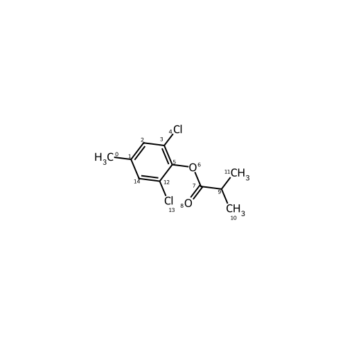 Cc1cc(Cl)c(OC(=O)C(C)C)c(Cl)c1